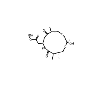 CC1CCC[C@@](C)(O)CC[C@H](C)[C@@H](C)C(=O)N[C@@H](CC(=O)OC(C)(C)C)CC1=O